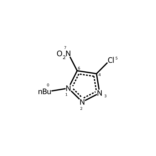 CCCCn1nnc(Cl)c1[N+](=O)[O-]